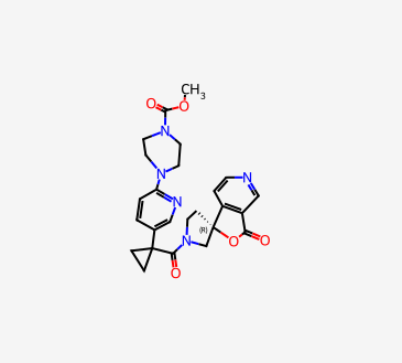 COC(=O)N1CCN(c2ccc(C3(C(=O)N4CC[C@@]5(C4)OC(=O)c4cnccc45)CC3)cn2)CC1